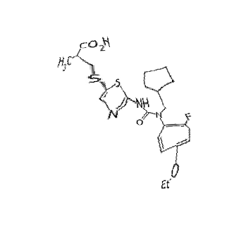 CCOc1ccc(N(CC2CCCC2)C(=O)Nc2ncc(SCC(C)C(=O)O)s2)c(F)c1